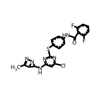 CC1=NN2C(Nc3cc(Cl)nc(Sc4ccc(NC(=O)c5c(F)cccc5F)cc4)n3)C12